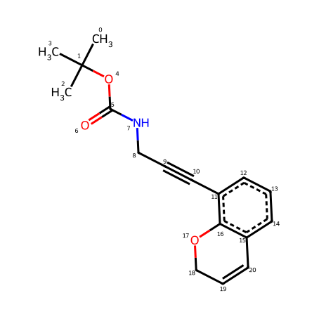 CC(C)(C)OC(=O)NCC#Cc1cccc2c1OCC=C2